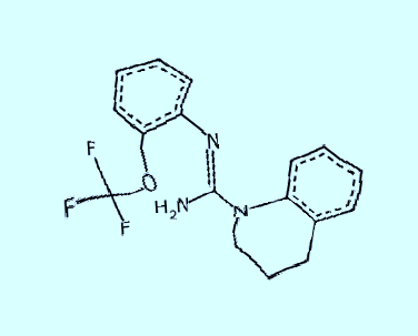 NC(=Nc1ccccc1OC(F)(F)F)N1CCCc2ccccc21